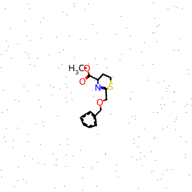 COC(=O)C1CCSC(COCc2ccccc2)=N1